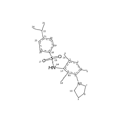 Cc1cc(C)c(N2CCCC2)c(C)c1NS(=O)(=O)c1ccc(C(C)C)cc1